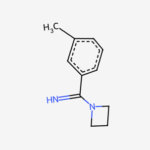 Cc1cccc(C(=N)N2CCC2)c1